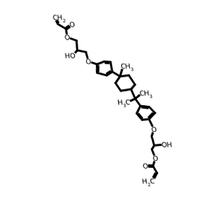 C=CC(=O)OCC(O)COc1ccc(C2(C)CCC(C(C)(C)c3ccc(OCC(O)COC(=O)C=C)cc3)CC2)cc1